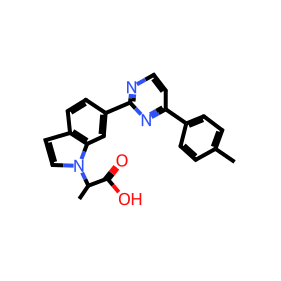 Cc1ccc(-c2ccnc(-c3ccc4ccn(C(C)C(=O)O)c4c3)n2)cc1